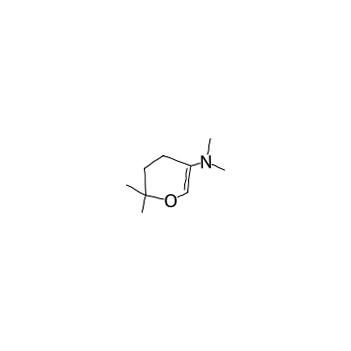 CN(C)C1=COC(C)(C)CC1